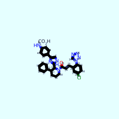 O=C(O)Nc1ccc(-c2c[nH]c(C3C(c4ccccc4)CCCN3C(=O)/C=C/c3cc(Cl)ccc3-n3cnnn3)n2)cc1